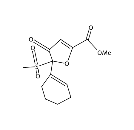 COC(=O)C1=CC(=O)C(C2=CCCCC2)(S(C)(=O)=O)O1